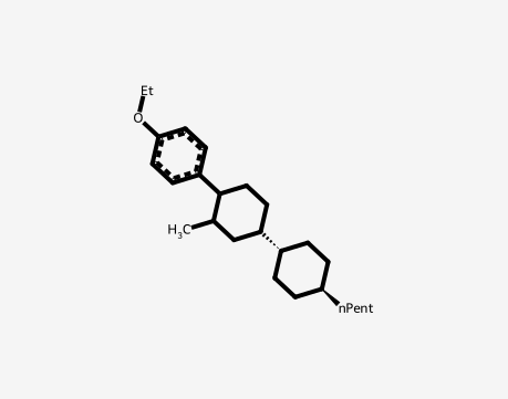 CCCCC[C@H]1CC[C@H](C2CCC(c3ccc(OCC)cc3)C(C)C2)CC1